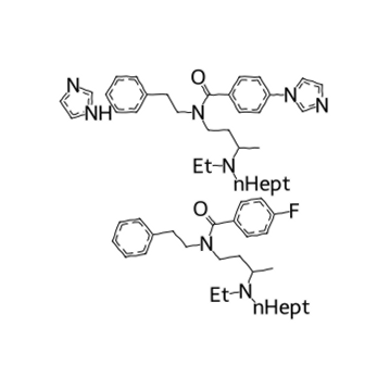 CCCCCCCN(CC)C(C)CCN(CCc1ccccc1)C(=O)c1ccc(-n2ccnc2)cc1.CCCCCCCN(CC)C(C)CCN(CCc1ccccc1)C(=O)c1ccc(F)cc1.c1c[nH]cn1